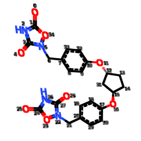 O=c1[nH]c(=O)n(Cc2ccc(O[C@@H]3CC[C@@H](Oc4ccc(Cn5oc(=O)[nH]c5=O)cc4)C3)cc2)o1